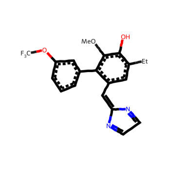 CCc1cc(C=C2N=CC=N2)c(-c2cccc(OC(F)(F)F)c2)c(OC)c1O